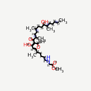 B=C1OC(C(C)CC/C=C/NCC(=O)OC)=CC(O)=C1C(=O)/C(C)=C/C=C(\C)CCC(O)/C(C)=C/C/C=C/C